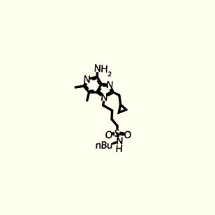 CCCCNS(=O)(=O)CCCCn1c(CC2CC2)nc2c(N)nc(C)c(C)c21